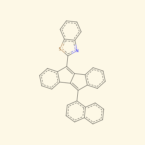 c1ccc2c(c1)C1=C(c3cccc4ccccc34)c3ccccc3C1=C2c1nc2ccccc2s1